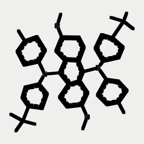 COc1ccc2c(N(c3ccc(C)cc3)c3ccc(C(C)(C)C)cc3)c3cc(OC)ccc3c(N(c3ccc(C)cc3)c3ccc(C(C)(C)C)cc3)c2c1